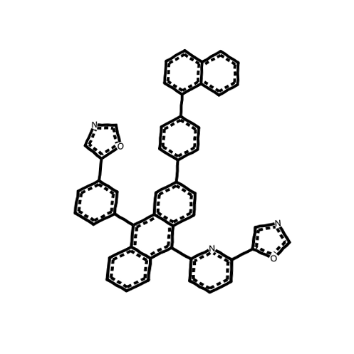 c1cc(-c2cnco2)cc(-c2c3ccccc3c(-c3cccc(-c4cnco4)n3)c3ccc(-c4ccc(-c5cccc6ccccc56)cc4)cc23)c1